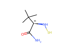 CC(C)(C)[C@@H](NS)C(N)=O